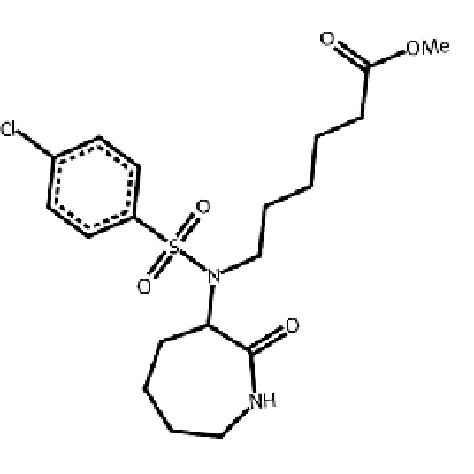 COC(=O)CCCCCN(C1CCCCNC1=O)S(=O)(=O)c1ccc(Cl)cc1